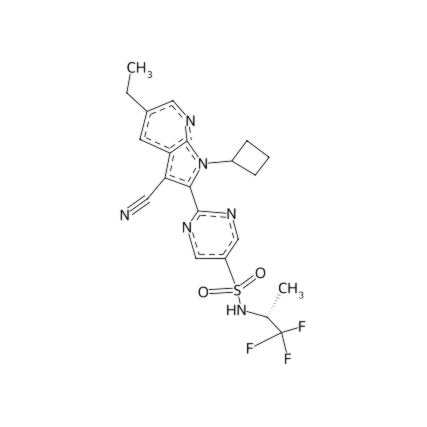 CCc1cnc2c(c1)c(C#N)c(-c1ncc(S(=O)(=O)N[C@H](C)C(F)(F)F)cn1)n2C1CCC1